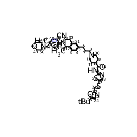 CC1c2ccc(CCCN3CCC(C(=O)Nc4ncc(SCc5ncc(C(C)(C)C)o5)s4)CC3)cc2CCN1C(=O)/C(C#N)=C\C(C)(C)CN1CCOCC1